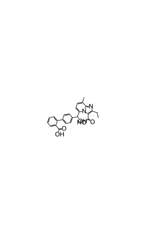 CCc1nc2c(C)ccc(C(O)c3ccc(-c4ccccc4C(=O)O)cc3)n2c1C(=O)O